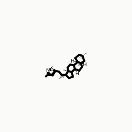 Cc1cc(C[C@@H](C)C2CCC3[C@@H]4CC[C@@H]5C[C@@H](C)CC[C@@H]5C4CC[C@@]32C)sn1